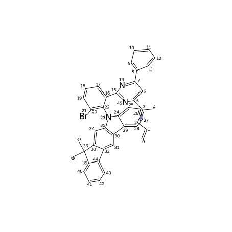 C=C/C=C(\C)c1cc(-c2ccccc2)nc(-c2cccc(Br)c2-n2c3ccccc3c3cc4c(cc32)C(C)(C)c2ccccc2-4)n1